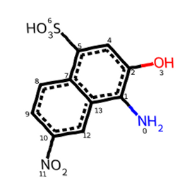 Nc1c(O)cc(S(=O)(=O)O)c2ccc([N+](=O)[O-])cc12